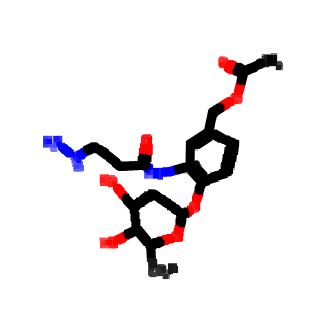 BC(=O)OCc1ccc(OC2CC(O)C(O)C(C(=O)O)O2)c(NC(=O)CCNN)c1